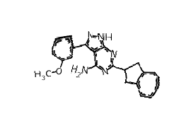 COc1cccc(-c2n[nH]c3nc(C4Cc5ccccc5C4)nc(N)c23)c1